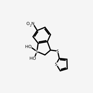 O=[N+]([O-])c1ccc2c(c1)S(O)(O)CC2Sc1cccs1